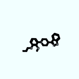 CCCOc1[c]ccc(N2CCC(c3noc4ccccc34)CC2)c1OC